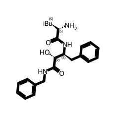 CC[C@H](C)[C@H](N)C(=O)N[C@@H](Cc1ccccc1)[C@@H](O)C(=O)NCc1ccccc1